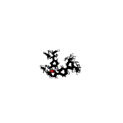 Cc1nc(C)nc(-c2ccc(-n3c4ccccc4c4ccc(-c5cc(C(F)(F)F)cc(C(F)(F)F)c5)cc43)c(-c3nc(C)nc(C)n3)c2)n1